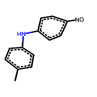 Cc1ccc(Nc2ccc(N=O)cc2)cc1